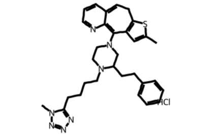 Cc1cc2c(s1)CC=c1cccnc1=C2N1CCN(CCCCc2nnnn2C)C(CCc2ccccc2)C1.Cl